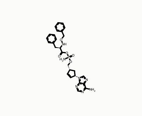 Nc1ncnc2c1ncn2[C@@H]1C=C[C@H](COP(N)(=O)OC(=O)[C@@H](Cc2ccccc2)NOCc2ccccc2)C1